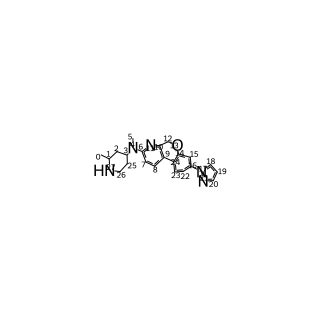 CC1CC(N(C)c2ccc3c(n2)COc2cc(-n4cccn4)ccc2-3)CCN1